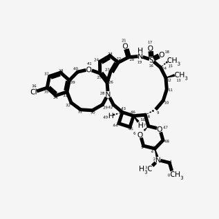 CCN(C)[C@H]1CO[C@H]([C@H]2CCC[C@H](C)[C@@H](C)S(=O)(=O)NC(=O)c3ccc4c(c3)N(CCCCc3cc(Cl)ccc3CO4)C[C@@H]3CC[C@H]32)OC1